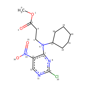 COC(=O)CCN(c1nc(Cl)ncc1[N+](=O)[O-])C1CCCCC1